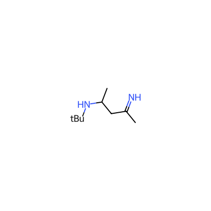 CC(=N)CC(C)NC(C)(C)C